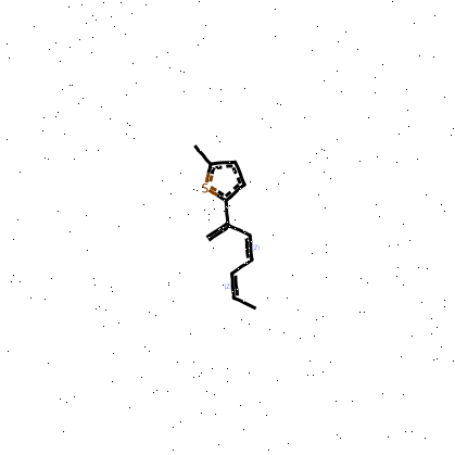 C=C(/C=C\C=C/C)c1ccc(C)s1